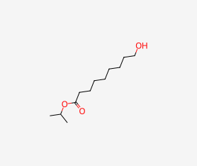 CC(C)OC(=O)CCCCCCCCO